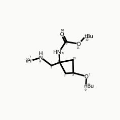 CCCCOC1CC(CNC(C)C)(NC(=O)OC(C)(C)C)C1